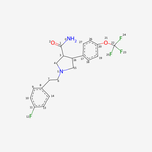 NC(=O)C1CN(CCc2ccc(F)cc2)CC1c1ccc(OC(F)(F)F)cc1